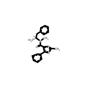 [CH2][C@H](Cc1ccccc1)N(C)C(=O)c1nc(C)sc1-c1ccccc1